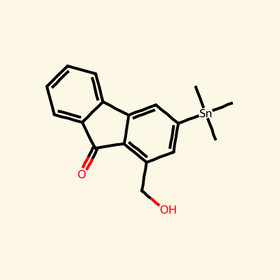 [CH3][Sn]([CH3])([CH3])[c]1cc(CO)c2c(c1)-c1ccccc1C2=O